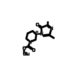 Cc1cn([C@@H]2CCCN(C(=O)OC(C)(C)C)C2)c(=O)c(C)n1